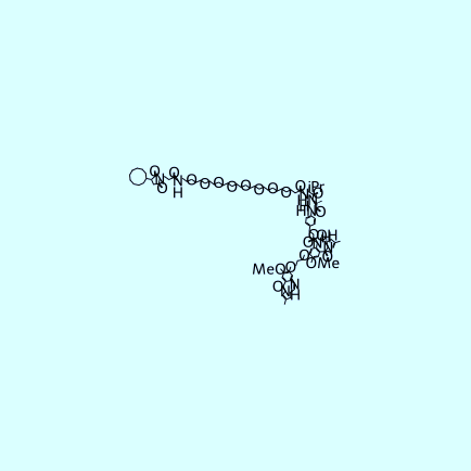 COc1cc2c(cc1OCCCOc1cc3c(cc1OC)C(=O)N1C=C(C)C[C@H]1[C@H](O)N3C(=O)OCc1ccc(NC(=O)[C@H](C)NC(=O)[C@@H](NC(=O)CCOCCOCCOCCOCCOCCOCCOCCOCCNC(=O)CCN3C(=O)CC(C4CCCCCCCCC4)C3=O)C(C)C)cc1)N=C[C@@H]1CC(C)=CN1C2=O